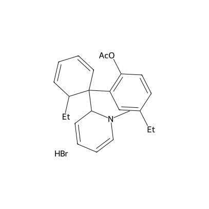 Br.CCc1ccc(OC(C)=O)c(C2(C3C=CC=CN3C)C=CC=CC2CC)c1